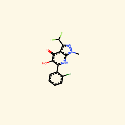 Cn1nc(C(F)F)c2c(=O)c(O)c(-c3ccccc3Cl)[nH]c21